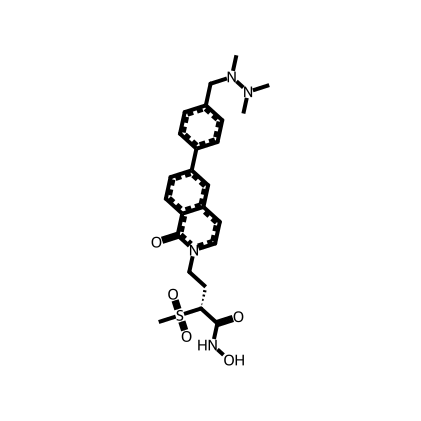 CN(C)N(C)Cc1ccc(-c2ccc3c(=O)n(CC[C@H](C(=O)NO)S(C)(=O)=O)ccc3c2)cc1